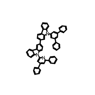 c1ccc(-c2cc(-c3ccccc3)cc(-n3c4ccccc4c4ccc(-c5ccc6c(c5)c5ccccc5n6-c5cc(-c6ccccc6)cc(-c6ccccc6)n5)cc43)c2)cc1